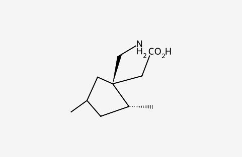 CC1C[C@@H](C)[C@@](CN)(CC(=O)O)C1